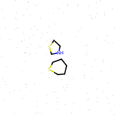 C1CCSCC1.C1CSCN1